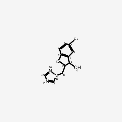 OC1c2cc(F)ccc2SC1Cn1cncn1